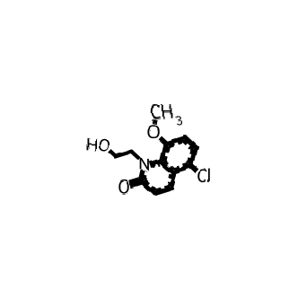 COc1ccc(Cl)c2ccc(=O)n(CCO)c12